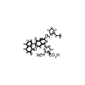 N#CC[C@H]1CN(c2nc(OC[C@@H]3CCCN3CCF)nc3c(F)c(-c4cccc5ccc(F)c(Cl)c45)ncc23)CCN1C(=O)O